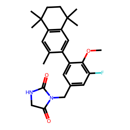 COc1c(F)cc(CN2C(=O)CNC2=O)cc1-c1cc2c(cc1C)C(C)(C)CCC2(C)C